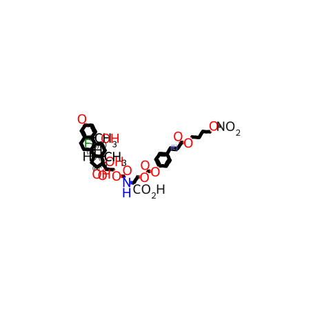 C[C@]12C=CC(=O)C=C1CC[C@H]1[C@@H]3C[C@@H](O)[C@](O)(C(=O)COC(=O)NC(COC(=O)Oc4ccc(/C=C/C(=O)OCCCCO[N+](=O)[O-])cc4)C(=O)O)[C@@]3(C)C[C@H](O)[C@@]12F